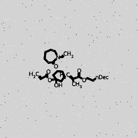 C=C(C)C(=O)OCCCCCCCCCCCC.C=CC(=O)OC1(O)CCCCC1.C=CN1CCCCCC1=O